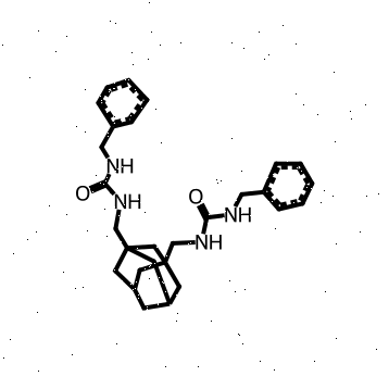 O=C(NCc1ccccc1)NCC12CC3CC(C1)CC(CNC(=O)NCc1ccccc1)(C3)C2